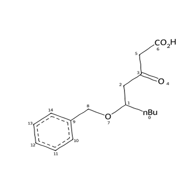 CCCCC(CC(=O)CC(=O)O)OCc1ccccc1